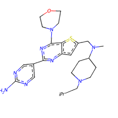 CC(C)CN1CCC(N(C)Cc2cc3nc(-c4cnc(N)nc4)nc(N4CCOCC4)c3s2)CC1